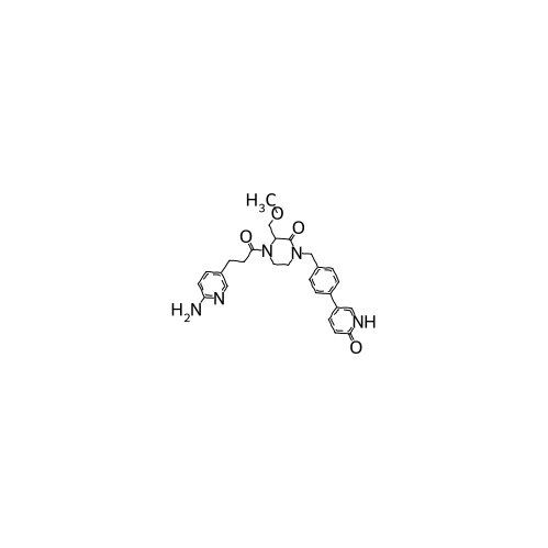 COCC1C(=O)N(Cc2ccc(-c3ccc(=O)[nH]c3)cc2)CCN1C(=O)CCc1ccc(N)nc1